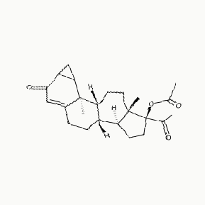 CC(=O)O[C@@]1(C(C)=O)CC[C@H]2[C@@H]3CCC4=CC(=O)C5CC5[C@@]4(C)[C@@H]3CC[C@@]21C